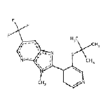 Cn1c(C2CC=NC=C2SC(C)(C)C)nc2cc(C(F)(F)F)cnc21